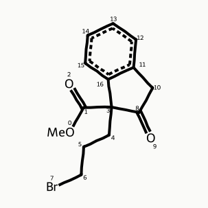 COC(=O)C1(CCCBr)C(=O)Cc2ccccc21